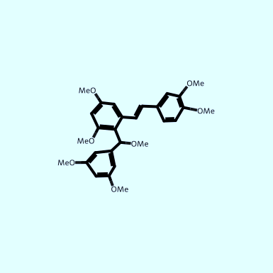 COc1cc(OC)cc(C(OC)c2c(/C=C/c3ccc(OC)c(OC)c3)cc(OC)cc2OC)c1